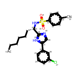 CC(=O)CCCCC[C@H](NS(=O)(=O)c1ccc(C#N)cc1)c1ncc(-c2cccc(Cl)c2)[nH]1